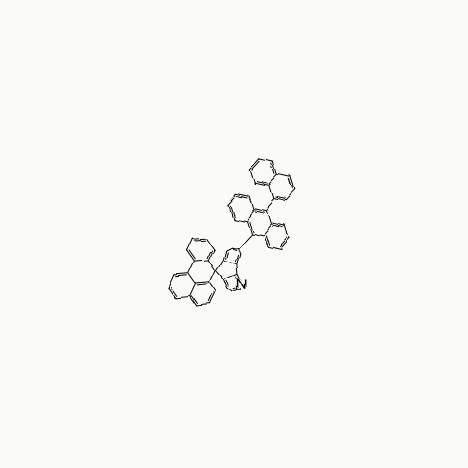 c1ccc2c(c1)-c1cccc3cccc(c13)C21c2ccc(-c3c4ccccc4c(-c4cccc5ccccc45)c4ccccc34)cc2-c2ncccc21